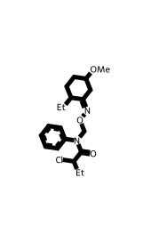 CCC(Cl)C(=O)N(CON=C1CC(OC)CCC1CC)c1ccccc1